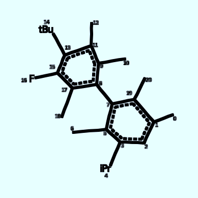 Cc1cc(C(C)C)c(C)c(-c2c(C)c(C)c(C(C)(C)C)c(F)c2C)c1C